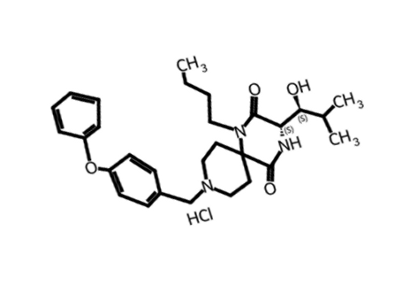 CCCCN1C(=O)[C@H]([C@@H](O)C(C)C)NC(=O)C12CCN(Cc1ccc(Oc3ccccc3)cc1)CC2.Cl